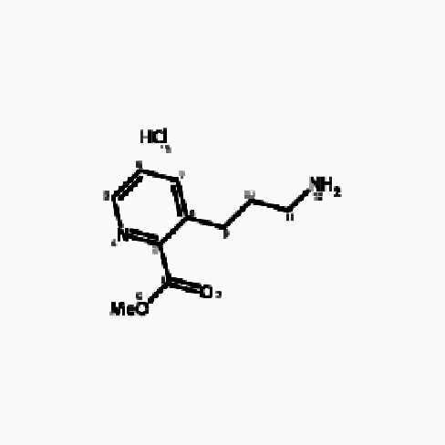 COC(=O)c1ncccc1CCCN.Cl